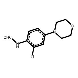 O=CNc1ccc(N2CCOCC2)cc1Cl